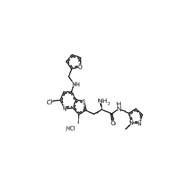 Cc1c(C[C@@H](N)C(=O)Nc2ccnn2C)sc2c(NCc3ccco3)cc(Cl)nc12.Cl